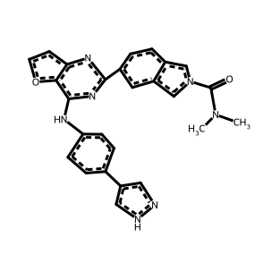 CN(C)C(=O)n1cc2ccc(-c3nc(Nc4ccc(-c5cn[nH]c5)cc4)c4occc4n3)cc2c1